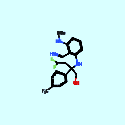 CSNc1cccc(NC(CO)(CC(F)F)c2ccc(C(F)(F)F)cc2)c1C=N